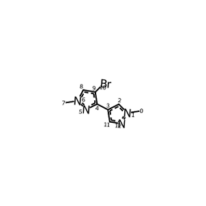 Cn1cc(-c2nn(C)cc2Br)cn1